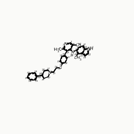 Cc1ncc(C#N)c(Nc2ccc3[nH]ccc3c2C)c1-c1ccc(OCCN2CCC(c3ccccc3)CC2)cc1